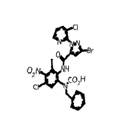 Cc1c(NC(=O)c2cc(Br)nn2-c2ncccc2Cl)c(N(Cc2ccccc2)C(=O)O)cc(Cl)c1[N+](=O)[O-]